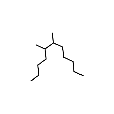 CCCCCC(C)C(C)CCCC